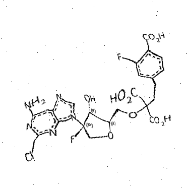 Nc1nc(Cl)nc2c1ncn2[C@@]1(F)CO[C@H](COC(Cc2ccc(C(=O)O)c(F)c2)(C(=O)O)C(=O)O)[C@H]1O